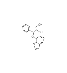 OC[C@@H](O)[C@@H](Oc1cccc2ccoc12)c1ccccc1